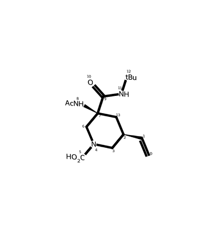 C=C[C@H]1CN(C(=O)O)C[C@](NC(C)=O)(C(=O)NC(C)(C)C)C1